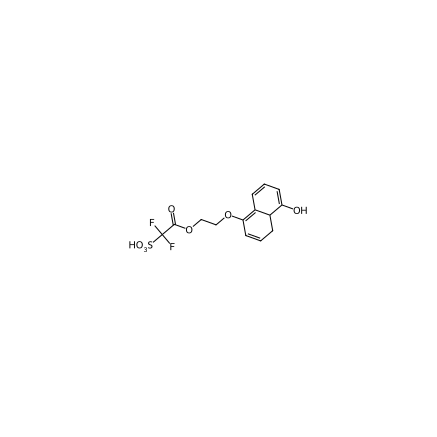 O=C(OCCOC1=C2C=CC=C(O)C2CC=C1)C(F)(F)S(=O)(=O)O